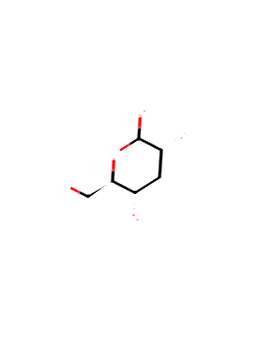 N[C@@H]1C[C@H](O)[C@@H](CO)OC1O